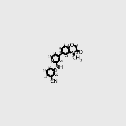 CN1C(=O)COc2ccc(-c3ccnc(Nc4cccc(C#N)c4)c3)cc21